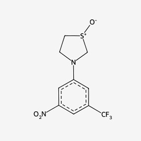 O=[N+]([O-])c1cc(N2CC[S+]([O-])C2)cc(C(F)(F)F)c1